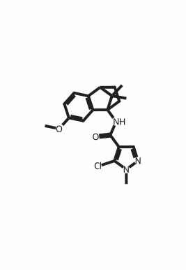 COc1ccc2c(c1)C1(NC(=O)c3cnn(C)c3Cl)CCC2C1(C)C